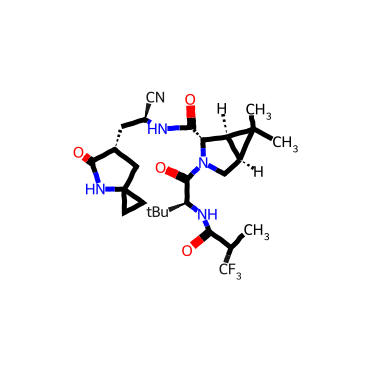 CC(C(=O)N[C@H](C(=O)N1C[C@H]2[C@@H]([C@H]1C(=O)N[C@H](C#N)C[C@@H]1CC3(CC3)NC1=O)C2(C)C)C(C)(C)C)C(F)(F)F